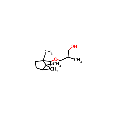 CC(CO)COC1CC2CCC1(C)C2(C)C